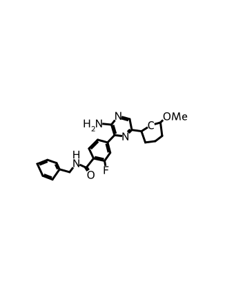 COC1CCCC(c2cnc(N)c(-c3ccc(C(=O)NCc4ccccc4)c(F)c3)n2)C1